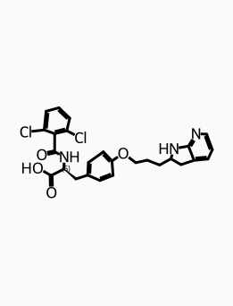 O=C(N[C@@H](Cc1ccc(OCCCC2Cc3cccnc3N2)cc1)C(=O)O)c1c(Cl)cccc1Cl